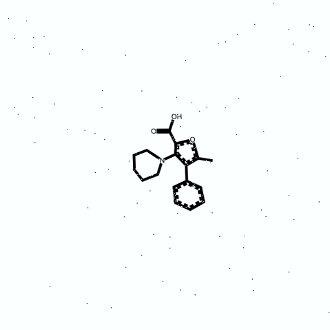 Cc1oc(C(=O)O)c(N2CCCCC2)c1-c1ccccc1